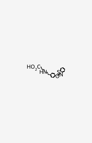 O=C(O)CCCNCCc1ccc(Oc2nc3ccccc3s2)cc1